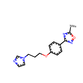 CNc1nc(-c2ccc(OCCCn3ccnc3)cc2)no1